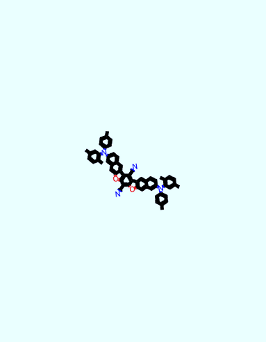 Cc1ccc(N(c2ccc3cc4c(cc3c2)oc2c(C#N)c3oc5cc6cc(N(c7ccc(C)cc7)c7cc(C)ccc7C)ccc6cc5c3c(C#N)c24)c2cc(C)ccc2C)cc1